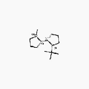 C[P@]1CCC[C@H]1[C@@H]1CCC[P@@]1C(C)(C)C